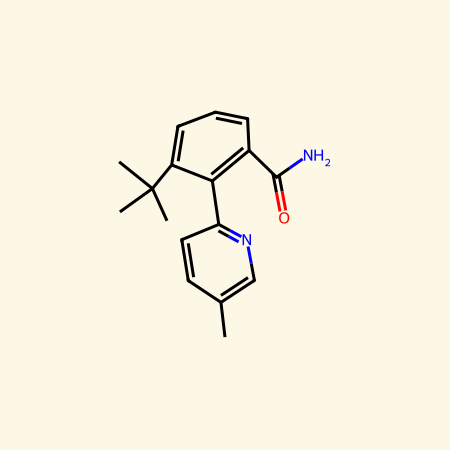 Cc1ccc(-c2c(C(N)=O)cccc2C(C)(C)C)nc1